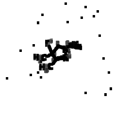 CCCCN1[CH]C(C)(F)C(C)=N1